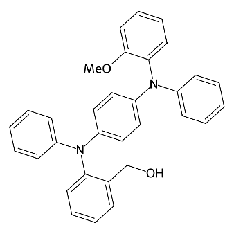 COc1ccccc1N(c1ccccc1)c1ccc(N(c2ccccc2)c2ccccc2CO)cc1